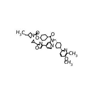 CCC1CN(C(=O)O[C@H]2CC[C@H](C(=O)N(C[C@H]3CC[C@H](c4ccc(OC)c(C)n4)CC3)c3cc(-c4coc(C5CC5)n4)ccn3)CC2)C1